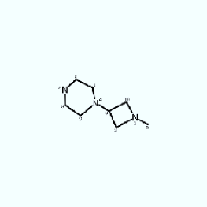 CN1CC(N2CC[N]CC2)C1